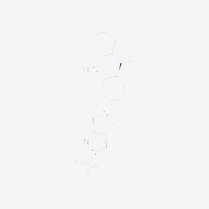 C/C=C\C(F)=C(/C)[C@H]1OC[C@H](N2Cc3cn(S(C)(=O)=O)nc3C2)CC1N